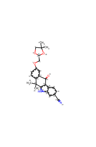 CC1(C)CO[C@H](COc2ccc3c(c2)C(=O)c2c([nH]c4cc(C#N)ccc24)C3(C)C)O1